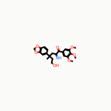 COc1cc(C(=O)C(=N)CC(C)(CCO)c2ccc3c(c2)OCO3)cc(OC)c1OC